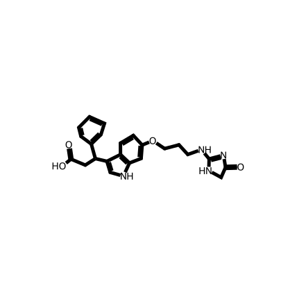 O=C(O)CC(c1ccccc1)c1c[nH]c2cc(OCCCNC3=NC(=O)CN3)ccc12